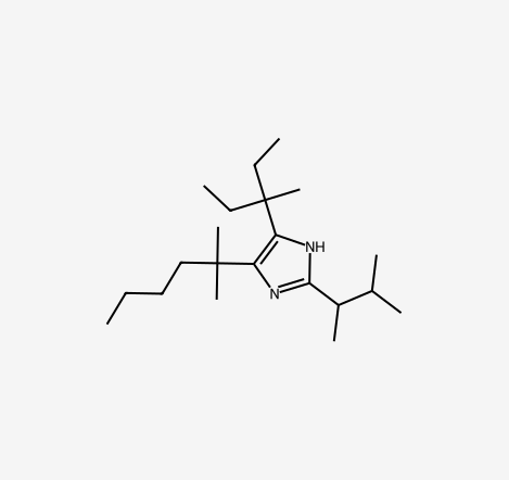 CCCCC(C)(C)c1nc(C(C)C(C)C)[nH]c1C(C)(CC)CC